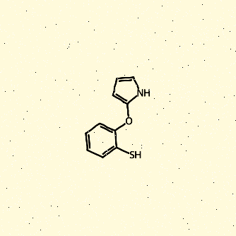 Sc1ccccc1Oc1ccc[nH]1